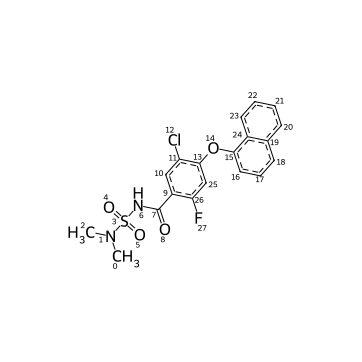 CN(C)S(=O)(=O)NC(=O)c1cc(Cl)c(Oc2cccc3ccccc23)cc1F